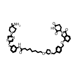 CC1(N)CCN(c2cnc(Sc3cccc(NC(=O)CCCCCCCO[C@H]4CCN(Cc5ccc(COc6cccc7c6CN(C6CCC(=O)NC6=O)C7=O)cc5)C4)c3)cn2)CC1